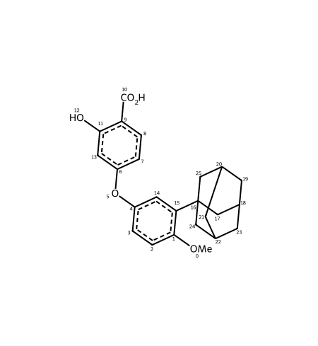 COc1ccc(Oc2ccc(C(=O)O)c(O)c2)cc1C12CC3CC(CC(C3)C1)C2